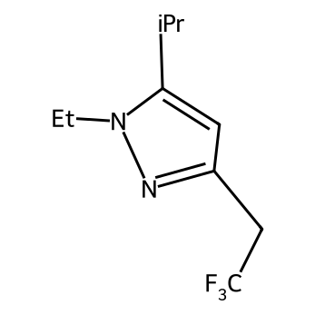 CCn1nc(CC(F)(F)F)cc1C(C)C